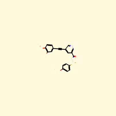 COc1ccc(S(C)(=O)=NC(=O)c2cncc(C#Cc3ccc(OC)c(OC)c3)c2)cc1